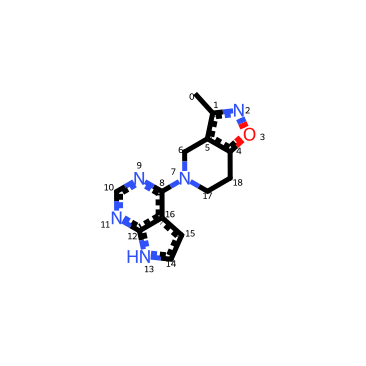 Cc1noc2c1CN(c1ncnc3[nH]ccc13)CC2